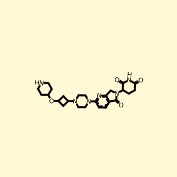 O=C1CCC(N2Cc3nc(N4CCN(C5CC(OC6CCNCC6)C5)CC4)ccc3C2=O)C(=O)N1